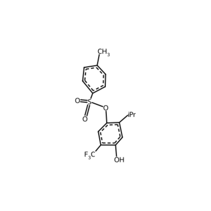 Cc1ccc(S(=O)(=O)Oc2cc(C(F)(F)F)c(O)cc2C(C)C)cc1